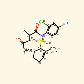 COC(=O)CC(C)C(=O)N(c1ccc(F)cc1Cl)S(=O)(=O)[C@H]1CCCC=C1C(=O)O